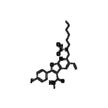 C=Cc1cc2c(C(=O)NC)c(-c3ccc(F)cc3)oc2nc1CN(CCCCCC)[SH](=O)=O